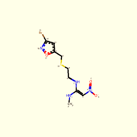 CN/C(=C/[N+](=O)[O-])NCCSCc1cc(Br)no1